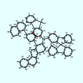 CC1(C)c2ccccc2-c2ccc(N(c3ccc4c(c3)C3(c5ccccc5-c5ccccc53)c3ccccc3-4)c3ccc4c(oc5c6ccccc6ccc45)c3-c3ccc(-c4cccc5ccccc45)cc3)cc21